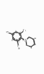 Fc1cc(F)[c]([Al]2[CH2]CCC[CH2]2)c(F)c1